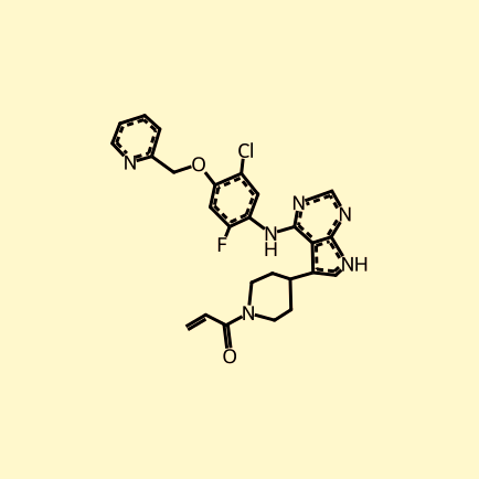 C=CC(=O)N1CCC(c2c[nH]c3ncnc(Nc4cc(Cl)c(OCc5ccccn5)cc4F)c23)CC1